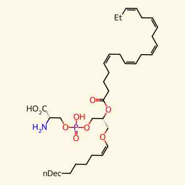 CC/C=C\C/C=C\C/C=C\C/C=C\C/C=C\CCCC(=O)O[C@H](CO/C=C\CCCCCCCCCCCCCC)COP(=O)(O)OC[C@H](N)C(=O)O